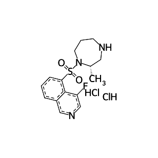 C[C@H]1CNCCCN1S(=O)(=O)c1cccc2cncc(F)c12.Cl.Cl